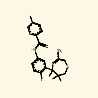 Cc1ccc(C(=O)Nc2ccc(F)c(C3(C)N=C(N)COCC3(F)F)c2)nc1